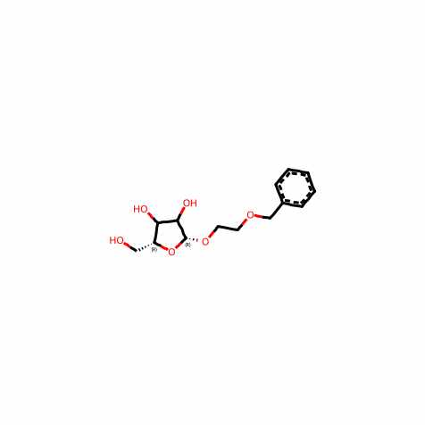 OC[C@H]1O[C@@H](OCCOCc2ccccc2)C(O)C1O